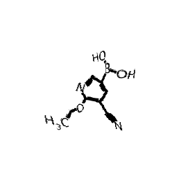 CCOc1ncc(B(O)O)cc1C#N